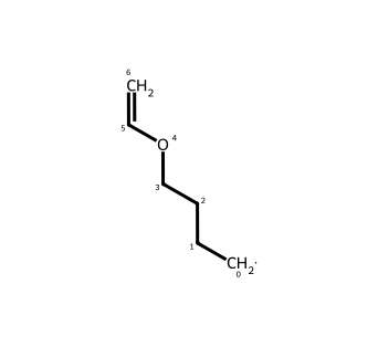 [CH2]CCCOC=C